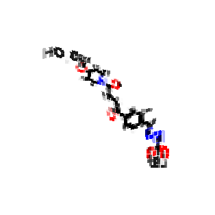 CC(C)(C)OC(=O)NN=Cc1ccc(C(=O)CCC(=O)N2CCC(OCC(=O)O)CC2)cc1